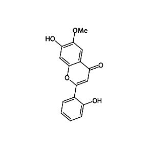 COc1cc2c(=O)cc(-c3ccccc3O)oc2cc1O